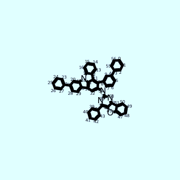 c1ccc(-c2ccc3c(c2)c2c4c5ccccc5n5c6cc(-c7ccccc7)ccc6c(cc2n3-c2nc(-c3ccccc3)c3oc6ccccc6c3n2)c45)cc1